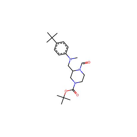 CN(CC1CN(C(=O)OC(C)(C)C)CCN1C=O)c1ccc(C(C)(C)C)cc1